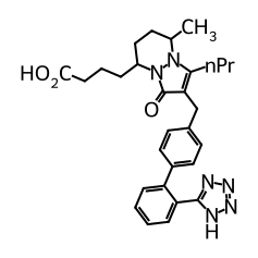 CCCc1c(Cc2ccc(-c3ccccc3-c3nnn[nH]3)cc2)c(=O)n2n1C(C)CCC2CCCC(=O)O